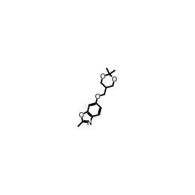 Cc1nc2ccc(OCC3COC(C)(C)OC3)cc2o1